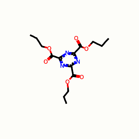 CCCOC(=O)c1nc(C(=O)OCCC)nc(C(=O)OCCC)n1